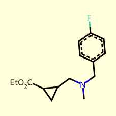 CCOC(=O)C1CC1CN(C)Cc1ccc(F)cc1